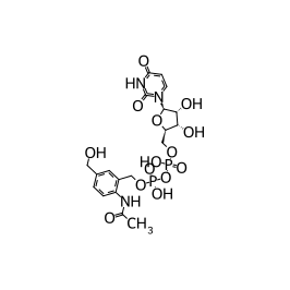 CC(=O)Nc1ccc(CO)cc1COP(=O)(O)OP(=O)(O)OC[C@H]1O[C@@H](n2ccc(=O)[nH]c2=O)[C@H](O)[C@@H]1O